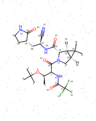 C[C@@H](OC(C)(C)C)C(NC(=O)C(F)(F)F)C(=O)N1C[C@H]2[C@@H]([C@H]1C(=O)N[C@H](C#N)C[C@@H]1CCNC1=O)C2(C)C